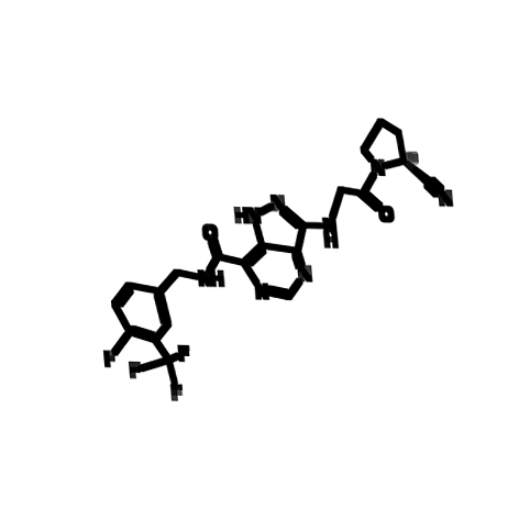 N#C[C@@H]1CCCN1C(=O)CNc1n[nH]c2c(C(=O)NCc3ccc(F)c(C(F)(F)F)c3)ncnc12